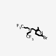 Cc1nc(Br)ccc1CN(CCC(F)(F)F)CCC(F)(F)F